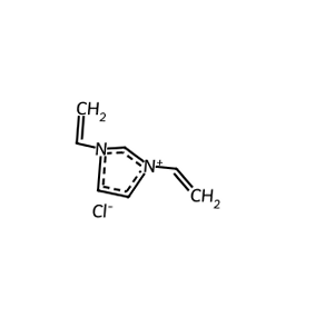 C=Cn1cc[n+](C=C)c1.[Cl-]